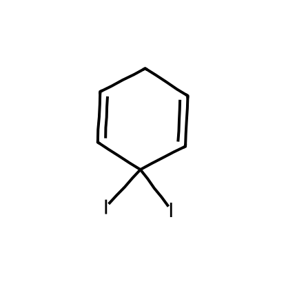 IC1(I)C=CCC=C1